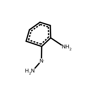 N[N]c1ccccc1N